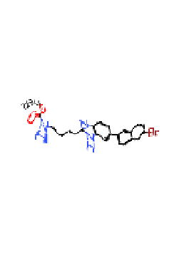 CC(C)(C)OC(=O)NCCCCc1nc2ccc(-c3ccc4cc(Br)ccc4c3)cc2[nH]1